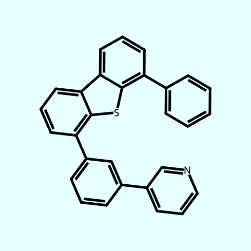 c1ccc(-c2cccc3c2sc2c(-c4cccc(-c5cccnc5)c4)cccc23)cc1